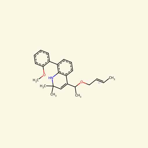 C/C=C/COC(C)C1=CC(C)(C)Nc2c1cccc2-c1ccccc1OC